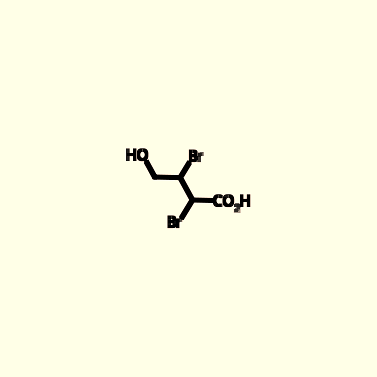 O=C(O)C(Br)C(Br)CO